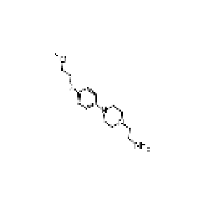 COCCOc1ccc(N2CCN(CCN)CC2)cc1